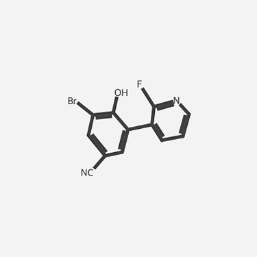 N#Cc1cc(Br)c(O)c(-c2cccnc2F)c1